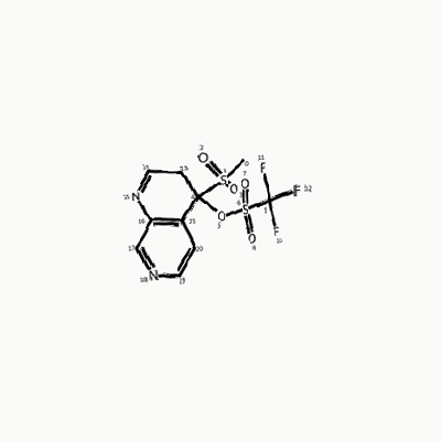 CS(=O)(=O)C1(OS(=O)(=O)C(F)(F)F)CC=Nc2cnccc21